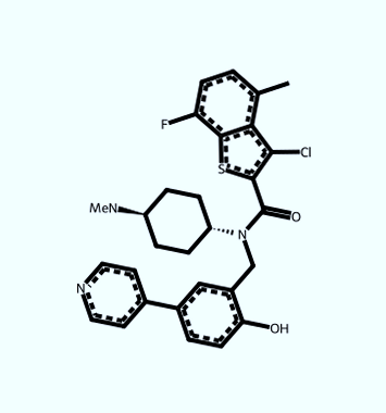 CN[C@H]1CC[C@H](N(Cc2cc(-c3ccncc3)ccc2O)C(=O)c2sc3c(F)ccc(C)c3c2Cl)CC1